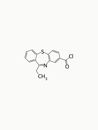 CCC1=Nc2cc(C(=O)Cl)ccc2Sc2ccccc21